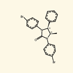 C[C@@H]1[C@H](c2ccccc2)N(c2ccc(Br)cc2)C(=O)N1c1ccc(Br)cc1